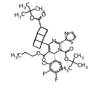 CCCOC(=O)C1=C(C23C4C5C2C2C3C4C52C(=O)OC(C)(C)C)N=C(c2nccs2)N(C(=O)OC(C)(C)C)[C@@H]1c1ccc(F)c(F)c1Cl